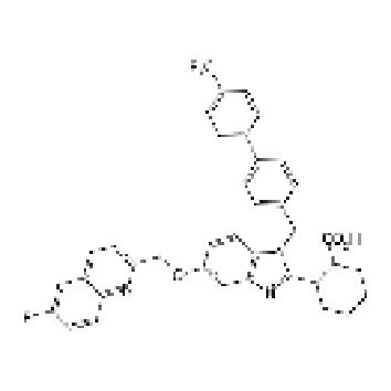 O=C(O)C1CCCCC1c1nc2cc(OCc3ccc4cc(F)ccc4n3)ccc2n1Cc1ccc(-c2ccc(C(F)(F)F)cc2)cc1